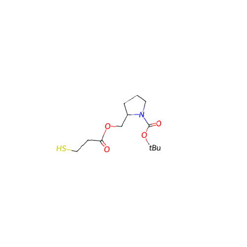 CC(C)(C)OC(=O)N1CCCC1COC(=O)CCS